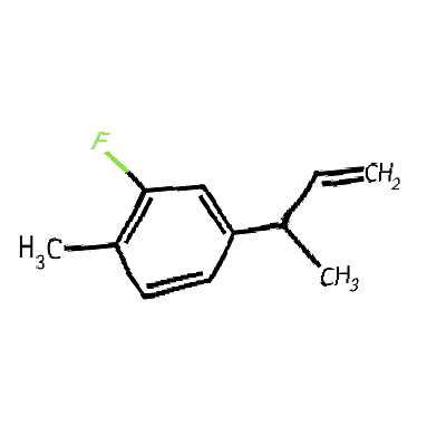 C=C[C](C)c1ccc(C)c(F)c1